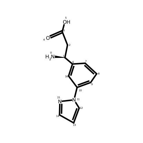 N[C@@H](CC(=O)O)c1cccc(-n2cccn2)c1